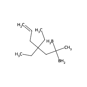 BC(B)(C)CC(CC)(CC)CC=C